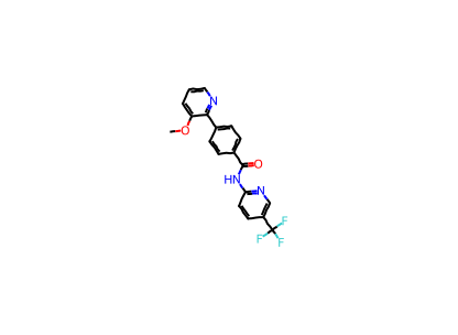 COc1cccnc1-c1ccc(C(=O)Nc2ccc(C(F)(F)F)cn2)cc1